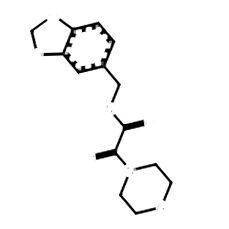 O=C(NCc1ccc2c(c1)OCO2)C(=O)N1CCNCC1